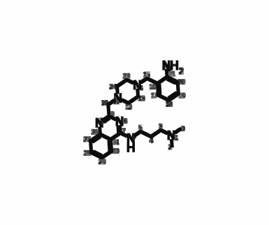 CN(C)CCCNc1nc(CN2CCN(Cc3ccccc3N)CC2)nc2ccccc12